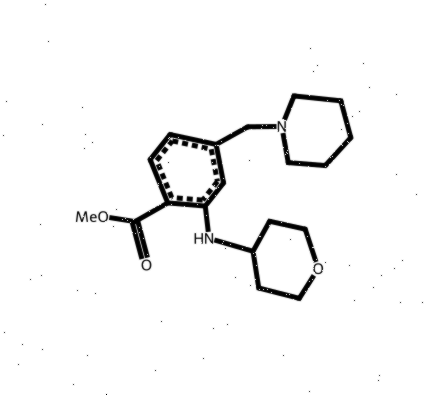 COC(=O)c1ccc(CN2CCCCC2)cc1NC1CCOCC1